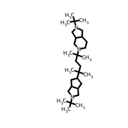 CC(C)(CCC(C)(C)N1CCC2CN(C(C)(C)C)CC2C1)C1CC2CN(C(C)(C)C)CC2C1